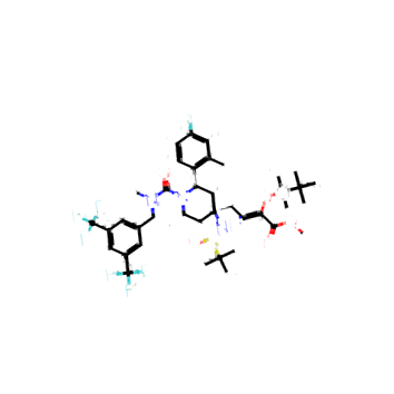 COC(=O)C(=CC[C@@]1(N[S+]([O-])C(C)(C)C)CCN(C(=O)N(C)[C@H](C)c2cc(C(F)(F)F)cc(C(F)(F)F)c2)[C@@H](c2ccc(F)cc2C)C1)O[Si](C)(C)C(C)(C)C